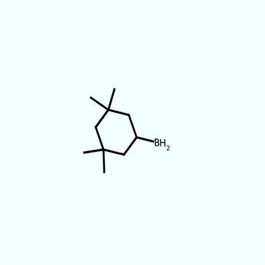 BC1CC(C)(C)CC(C)(C)C1